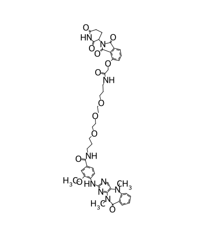 COc1cc(C(=O)NCCCOCCOCCOCCCNC(=O)COc2cccc3c2C(=O)N(C2CCC(=O)NC2=O)C3=O)ccc1Nc1ncc2c(n1)N(C)C(=O)c1ccccc1N2C